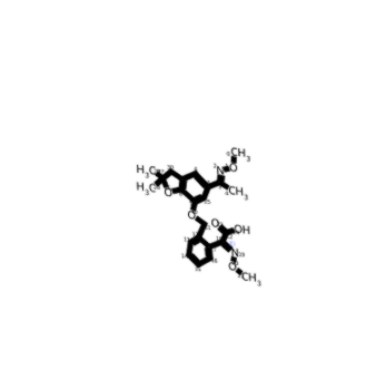 CON=C(C)c1cc2c(c(OCc3ccccc3/C(=N\OC)C(=O)O)c1)OC(C)(C)C2